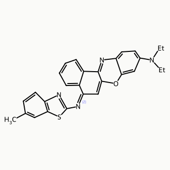 CCN(CC)c1ccc2nc3c4ccccc4/c(=N\c4nc5ccc(C)cc5s4)cc-3oc2c1